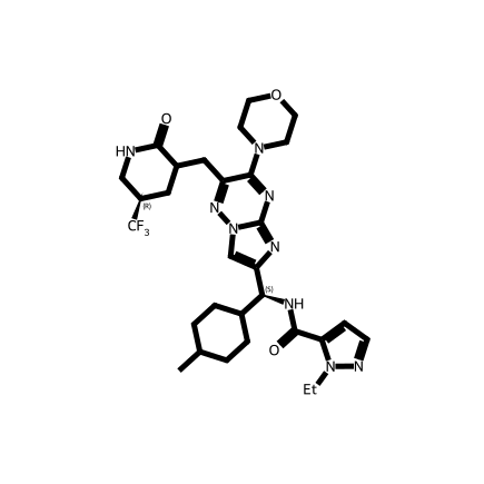 CCn1nccc1C(=O)N[C@H](c1cn2nc(CC3C[C@@H](C(F)(F)F)CNC3=O)c(N3CCOCC3)nc2n1)C1CCC(C)CC1